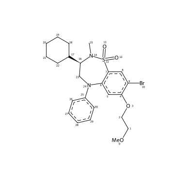 COCCOc1cc2c(cc1Br)S(=O)(=O)N(C)[C@H](C1CCCCC1)CN2c1ccccc1